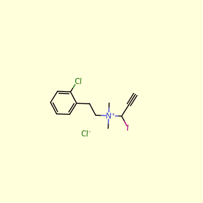 C#CC(I)[N+](C)(C)CCc1ccccc1Cl.[Cl-]